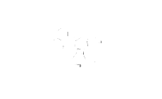 CCN(C[C@@]12CC[C@@H](c3cc(-c4c(F)cccc4F)nnc31)C2(C)C)c1ccccn1